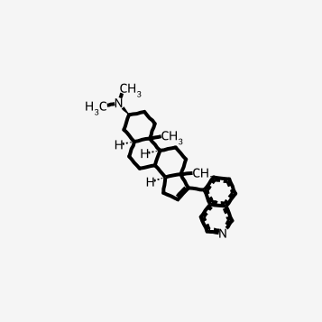 CN(C)[C@H]1CCC2(C)[C@@H](CCC3[C@@H]4CC=C(c5cccc6cnccc56)C4(C)CC[C@@H]32)C1